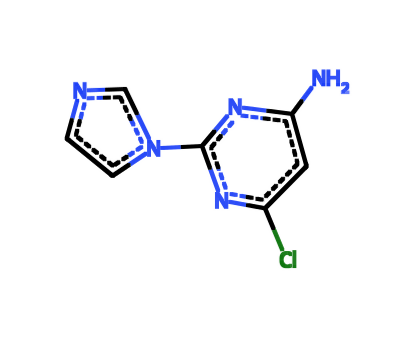 Nc1cc(Cl)nc(-n2ccnc2)n1